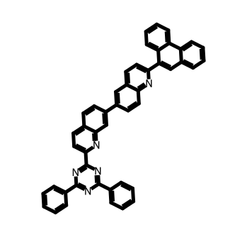 c1ccc(-c2nc(-c3ccccc3)nc(-c3ccc4ccc(-c5ccc6nc(-c7cc8ccccc8c8ccccc78)ccc6c5)cc4n3)n2)cc1